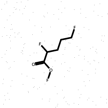 O=C(OF)C(F)CCCF